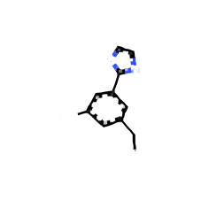 CCc1[c]c(C)cc(-c2ncc[nH]2)c1